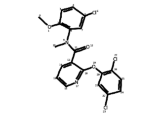 COc1ccc(Cl)cc1N(C)C(=O)c1cccnc1Oc1cc(Cl)ccc1Cl